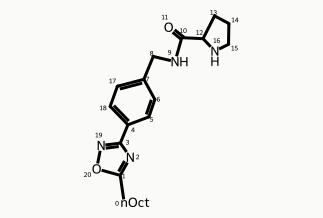 CCCCCCCCc1nc(-c2ccc(CNC(=O)C3CCCN3)cc2)no1